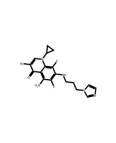 CC(=O)c1cn(C2CC2)c2c(F)c(NCCCn3ccnc3)c(F)c(N)c2c1=O